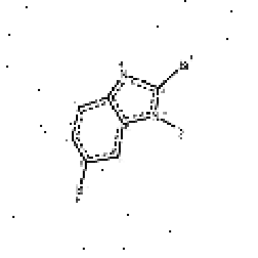 Cn1c(Br)nc2ccc(Br)cc21